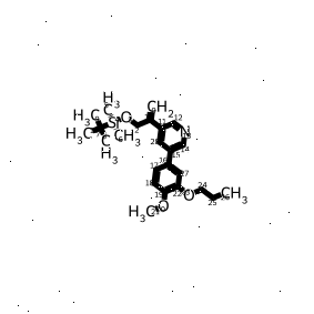 C=C(CO[Si](C)(C)C(C)(C)C)c1cncc(-c2ccc(OC)c(OCCC)c2)c1